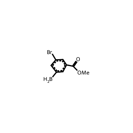 Bc1cc(Br)cc(C(=O)OC)c1